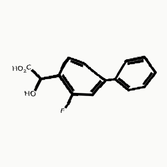 O=C(O)C(O)c1ccc(-c2ccccc2)cc1F